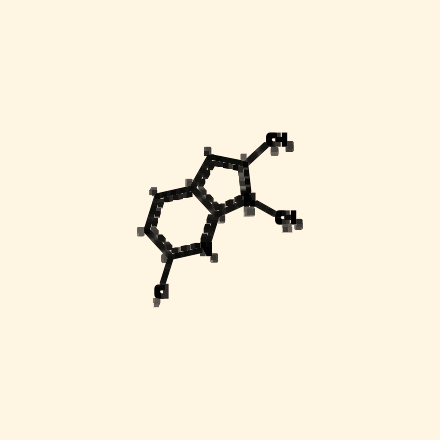 Cc1cc2ccc(Cl)nc2n1C